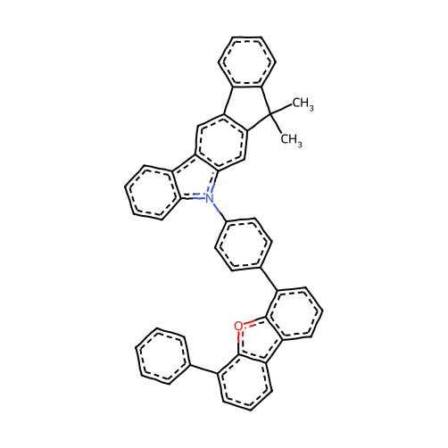 CC1(C)c2ccccc2-c2cc3c4ccccc4n(-c4ccc(-c5cccc6c5oc5c(-c7ccccc7)cccc56)cc4)c3cc21